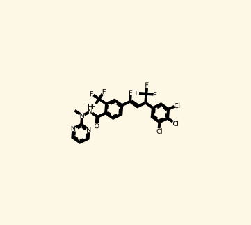 CN(NC(=O)c1ccc(C(F)=CC(c2cc(Cl)c(Cl)c(Cl)c2)C(F)(F)F)cc1C(F)(F)F)c1ncccn1